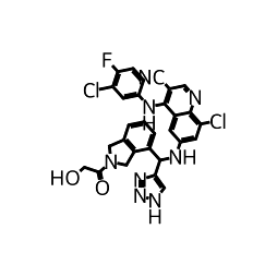 N#Cc1cnc2c(Cl)cc(NC(c3c[nH]nn3)c3cccc4c3CN(C(=O)CO)C4)cc2c1Nc1ccc(F)c(Cl)c1